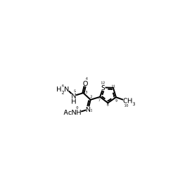 CC(=O)NN=C(C(=O)NN)c1cc(C)cs1